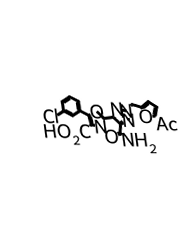 CC(=O)c1ccc(Cn2nc(C(N)=O)c(-c3nc(C(=O)O)c(-c4cccc(Cl)c4)o3)n2)o1